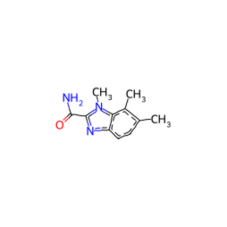 Cc1ccc2nc(C(N)=O)n(C)c2c1C